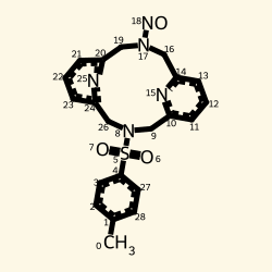 Cc1ccc(S(=O)(=O)N2Cc3cccc(n3)CN(N=O)Cc3cccc(n3)C2)cc1